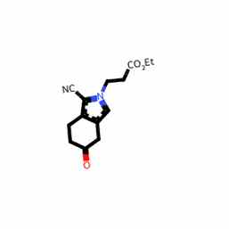 CCOC(=O)CCn1cc2c(c1C#N)CCC(=O)C2